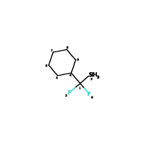 FC(F)([SiH3])C1CCCCC1